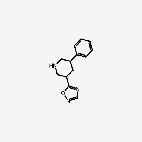 c1ccc(C2CNCC(c3ncno3)C2)cc1